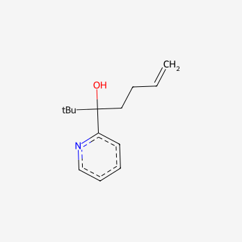 C=CCCC(O)(c1ccccn1)C(C)(C)C